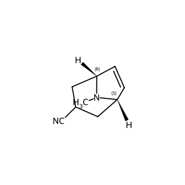 CN1[C@@H]2C=C[C@H]1CC(C#N)C2